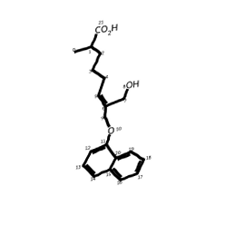 CC(CCCC=C(CO)COc1cccc2ccccc12)C(=O)O